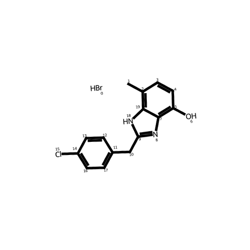 Br.Cc1ccc(O)c2nc(Cc3ccc(Cl)cc3)[nH]c12